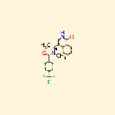 C[C@H](c1c[nH]c(=O)c2ccccc12)N(C)C(=O)c1ccc(C(F)(F)F)cc1